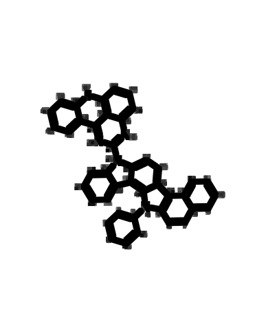 c1ccc(-n2c3ccc4ccccc4c3c3ccc4c(c5ccccc5n4-c4nc5c6c(cccc6n4)Sc4ccccc4-5)c32)cc1